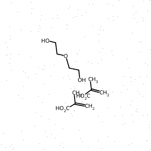 C=C(C)C(=O)O.C=C(C)C(=O)O.OCCOCCO